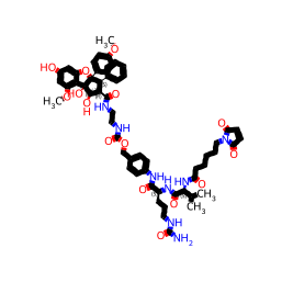 COc1ccc([C@@]23Oc4cc(O)cc(OC)c4[C@]2(O)[C@H](O)[C@H](C(=O)NCCNC(=O)OCc2ccc(NC(=O)[C@H](CCCNC(N)=O)NC(=O)[C@@H](NC(=O)CCCCCN4C(=O)C=CC4=O)C(C)C)cc2)[C@H]3c2ccccc2)cc1